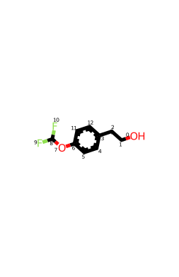 OC[CH]c1ccc(OC(F)F)cc1